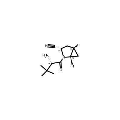 CC(C)(C)[C@H](N)C(=O)N1[C@H](C#N)C[C@@H]2C[C@@H]21